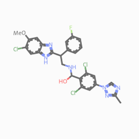 COc1cc2nc(C(CNC(O)c3c(Cl)cc(-n4cnc(C)n4)cc3Cl)c3cccc(F)c3)[nH]c2cc1Cl